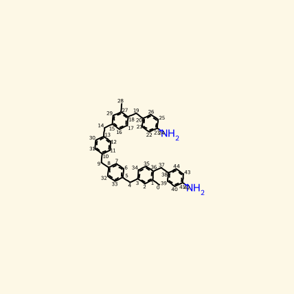 Cc1cc(Cc2ccc(Cc3ccc(Cc4ccc(Cc5ccc(N)cc5)c(C)c4)cc3)cc2)ccc1Cc1ccc(N)cc1